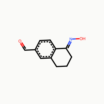 O=Cc1ccc2c(c1)CCC/C2=N\O